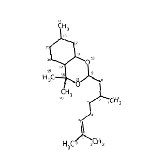 CC(C)=CCCC(C)CC1OC2CC(C)CCC2C(C)(C)O1